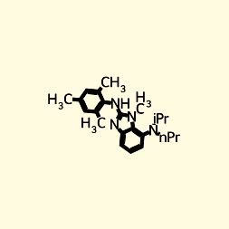 CCCN(c1cccc2nc(Nc3c(C)cc(C)cc3C)n(C)c12)C(C)C